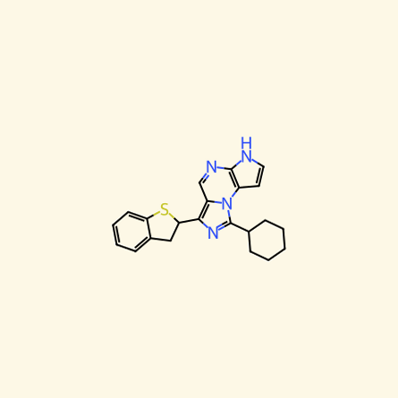 c1ccc2c(c1)CC(c1nc(C3CCCCC3)n3c1cnc1[nH]ccc13)S2